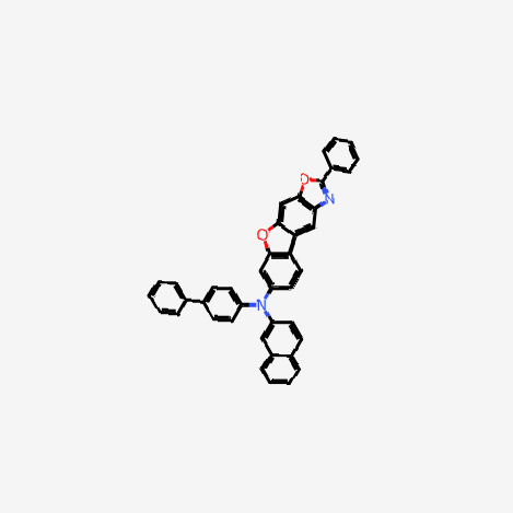 c1ccc(-c2ccc(N(c3ccc4ccccc4c3)c3ccc4c(c3)oc3cc5oc(-c6ccccc6)nc5cc34)cc2)cc1